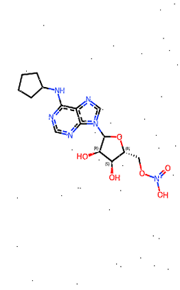 O=[N+](O)OC[C@H]1OC(n2cnc3c(NC4CCCC4)ncnc32)[C@H](O)[C@@H]1O